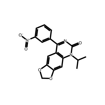 CC(C)n1c(=O)nc(-c2cccc([N+](=O)[O-])c2)c2cc3c(cc21)OCO3